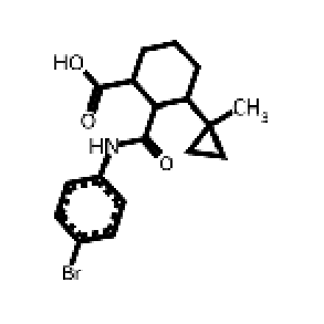 CC1(C2CCCC(C(=O)O)C2C(=O)Nc2ccc(Br)cc2)CC1